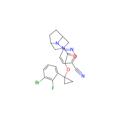 N#Cc1ccc(N2C3CCC2CN(C(=O)COC2(c4cccc(Br)c4F)CC2)C3)nc1